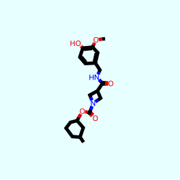 COc1cc(CNC(=O)C2CN(C(=O)OC3CCCC(C)C3)C2)ccc1O